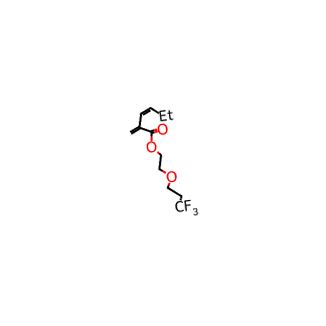 C=C(/C=C\CC)C(=O)OCCOCCC(F)(F)F